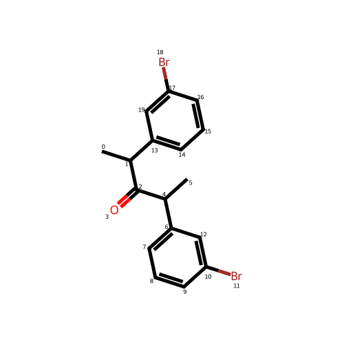 CC(C(=O)C(C)c1cccc(Br)c1)c1cccc(Br)c1